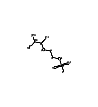 CS(=O)(=O)OCCOC(F)C(F)F